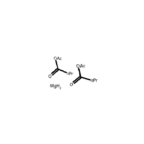 CCCC(=O)OC(C)=O.CCCC(=O)OC(C)=O.[MgH2]